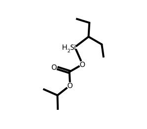 CCC(CC)[SiH2]OC(=O)OC(C)C